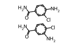 NC(=O)c1ccc(Cl)c(N)c1.NC(=O)c1ccc(N)c(Cl)c1